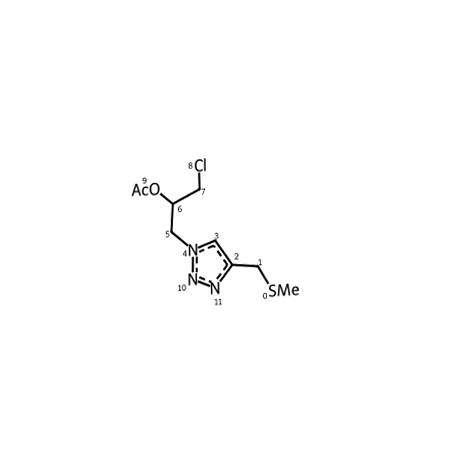 CSCc1cn(CC(CCl)OC(C)=O)nn1